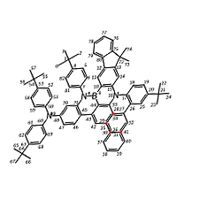 CC(C)(C)c1ccc(N2B3c4cc5c(cc4N(c4ccc(C(C)(C)C)cc4-c4ccccc4)c4cc(-c6ccccc6)cc(c43)-c3ccc(N(c4ccc(C(C)(C)C)cc4)c4ccc(C(C)(C)C)cc4)cc32)C(C)(C)c2ccccc2-5)cc1